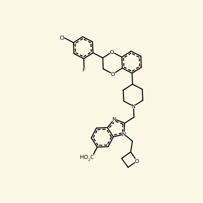 O=C(O)c1ccc2nc(CN3CCC(c4cccc5c4OCC(c4ccc(Cl)cc4F)O5)CC3)n(CC3CCO3)c2c1